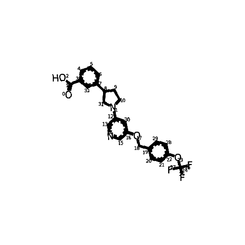 O=C(O)c1cccc(C2CCN(c3cncc(OCc4ccc(OC(F)(F)F)cc4)c3)C2)c1